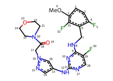 COc1ccc(F)c(CNc2nc(Nc3cnn(CC(=O)N4CCOCC4)c3)ncc2F)c1F